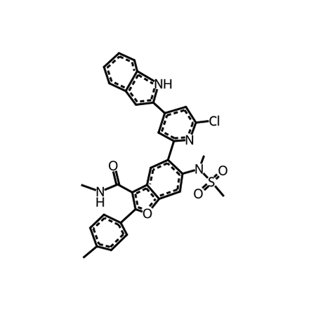 CNC(=O)c1c(-c2ccc(C)cc2)oc2cc(N(C)S(C)(=O)=O)c(-c3cc(-c4cc5ccccc5[nH]4)cc(Cl)n3)cc12